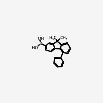 CC1(C)c2cc(B(O)O)ccc2-c2c(-c3ccccc3)cccc21